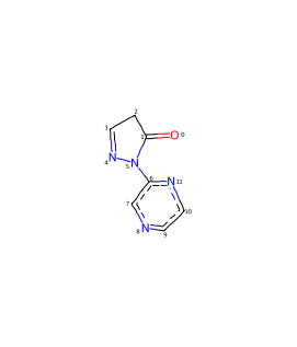 O=C1CC=NN1c1cnccn1